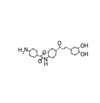 Nc1ccc(S(=O)(=O)Nc2ccc(C(=O)C=Cc3ccc(O)c(O)c3)cc2)cc1